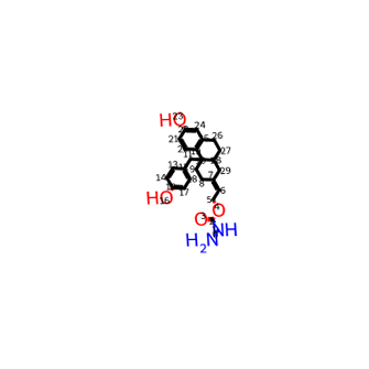 NNC(=O)OCC=C1CCC2(Cc3ccc(O)cc3)c3ccc(O)cc3CCC2C1